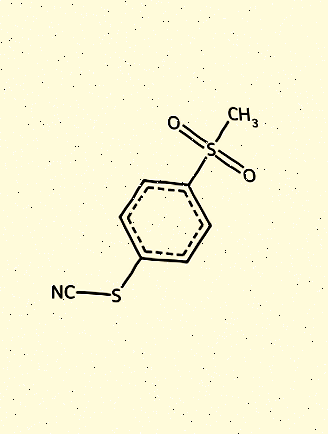 CS(=O)(=O)c1ccc(SC#N)cc1